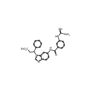 CCOC(=O)CC(c1ccccc1)n1cnc2ccc([AsH]C(=O)c3cccc(NC(=N)[AsH2])c3)cc21